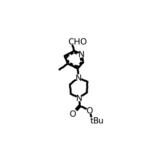 Cc1cc(C=O)ncc1N1CCN(C(=O)OC(C)(C)C)CC1